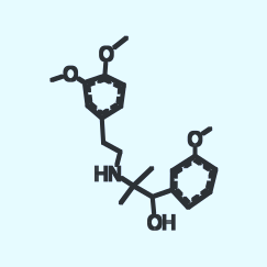 COc1cccc(C(O)C(C)(C)NCCc2ccc(OC)c(OC)c2)c1